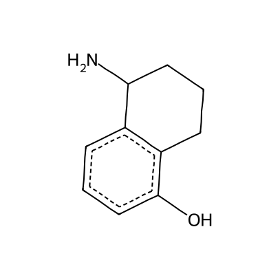 NC1CCCc2c(O)cccc21